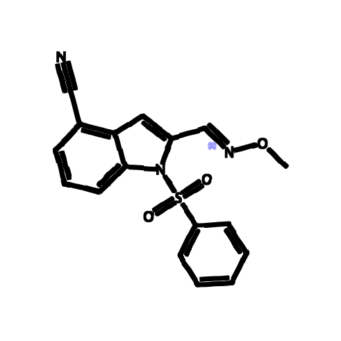 CO/N=C/c1cc2c(C#N)cccc2n1S(=O)(=O)c1ccccc1